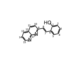 Oc1ccccc1C=Cc1ccc2cccnc2n1